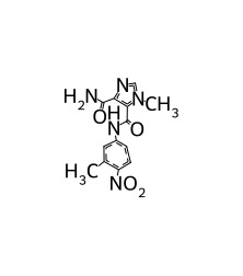 Cc1cc(NC(=O)c2c(C(N)=O)ncn2C)ccc1[N+](=O)[O-]